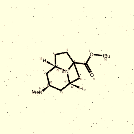 CN[C@H]1C[C@@H]2CCC3(C(=O)OC(C)(C)C)C[C@H](C1)N23